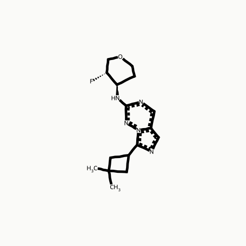 CC1(C)CC(c2ncc3cnc(N[C@@H]4CCOC[C@H]4F)nn23)C1